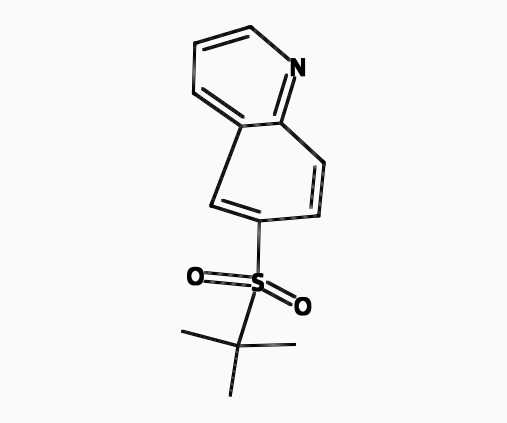 CC(C)(C)S(=O)(=O)c1ccc2ncccc2c1